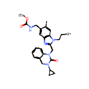 Cc1cc2c(cc1CNC(=O)OC(C)(C)C)nc(CN1C(=O)N(C3CC3)Cc3ccccc31)n2CCC(C)C